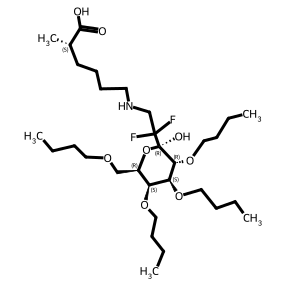 CCCCOC[C@H]1O[C@@](O)(C(F)(F)CNCCCC[C@H](C)C(=O)O)[C@H](OCCCC)[C@@H](OCCCC)[C@H]1OCCCC